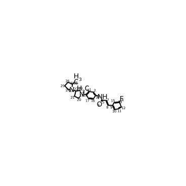 Cc1cc(NC(=O)/C=C/c2cccc(F)c2)ccc1N1CCC(N2CCCC2C)C1